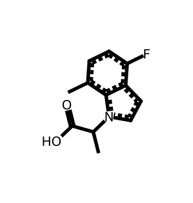 Cc1ccc(F)c2ccn(C(C)C(=O)O)c12